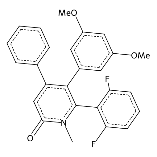 COc1cc(OC)cc(-c2c(-c3ccccc3)cc(=O)n(C)c2-c2c(F)cccc2F)c1